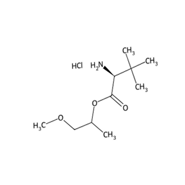 COCC(C)OC(=O)[C@@H](N)C(C)(C)C.Cl